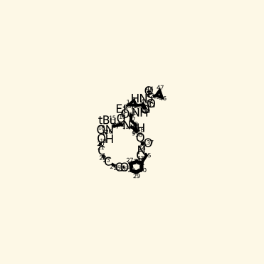 CC[C@H]1C[C@@]1(NC(=O)C1C[C@@H]2CN1C(=O)[C@H](C(C)(C)C)NC(=O)OCCCCCCOc1cccc3c1CN(C3)C(=O)O2)C(=O)NS(=O)(=O)C1CC1